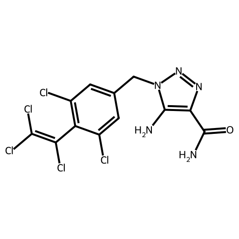 NC(=O)c1nnn(Cc2cc(Cl)c(C(Cl)=C(Cl)Cl)c(Cl)c2)c1N